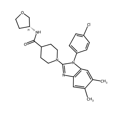 Cc1cc2nc(N3CCC(C(=O)N[C@@H]4CCOC4)CC3)n(-c3ccc(Cl)cc3)c2cc1C